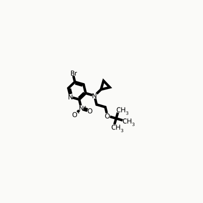 CC(C)(C)OCCN(c1cc(Br)cnc1[N+](=O)[O-])C1CC1